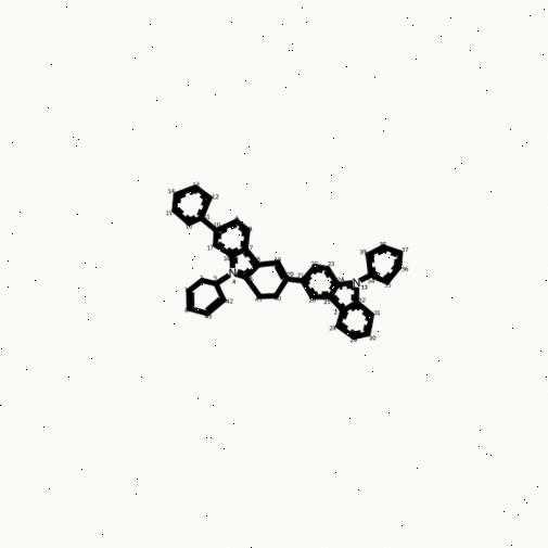 C1=CCC(n2c3c(c4ccc(-c5ccccc5)cc42)C=C(c2ccc4c(c2)c2ccccc2n4-c2ccccc2)CC3)C=C1